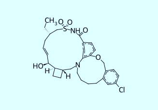 CC[C@H]1C/C=C/[C@H](O)[C@@H]2CC[C@H]2CN2CCCCc3cc(Cl)ccc3COc3ccc(cc32)C(=O)NS(=O)(=O)C1